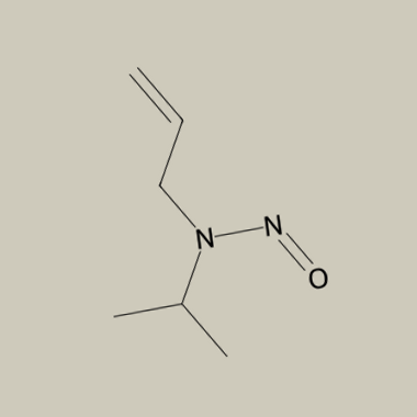 C=CCN(N=O)C(C)C